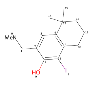 CNCc1cc2c(c(I)c1O)CCCC2(C)C